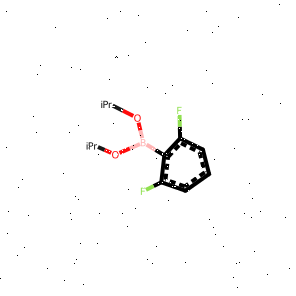 CC(C)OB(OC(C)C)c1c(F)cccc1F